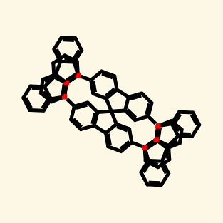 C1=CCC2C(=C1)N(c1ccc3c(c1)C1(c4cc(-n5c6ccccc6c6ccccc65)ccc4-3)c3cc(-n4c5ccccc5c5ccccc54)ccc3-c3ccc(-n4c5ccccc5c5ccccc54)cc31)c1ccccc12